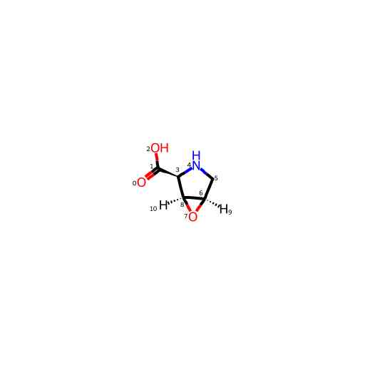 O=C(O)[C@H]1NC[C@H]2O[C@@H]12